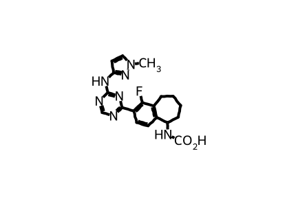 Cn1ccc(Nc2ncnc(-c3ccc4c(c3F)CCCCC4NC(=O)O)n2)n1